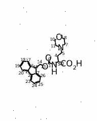 O=C(N[C@@H](CCN1CCOCC1)C(=O)O)OCC1c2ccccc2-c2ccccc21